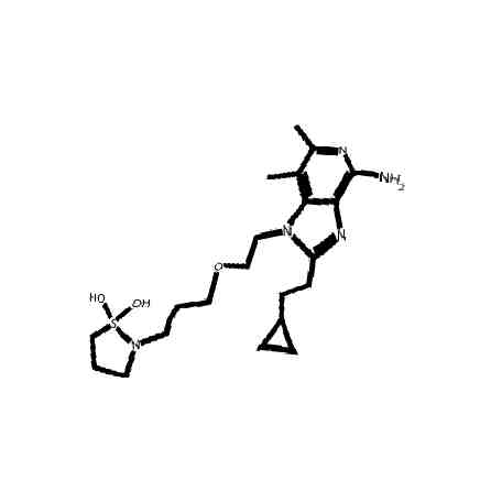 Cc1nc(N)c2nc(CCC3CC3)n(CCOCCCN3CCCS3(O)O)c2c1C